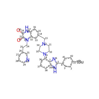 CC(C)(C)c1ccc(-c2nc3c(N4CCN(Cc5ccc6[nH]c(=O)c(=O)n(CCc7cccnc7)c6c5)CC4)cccc3[nH]2)cc1